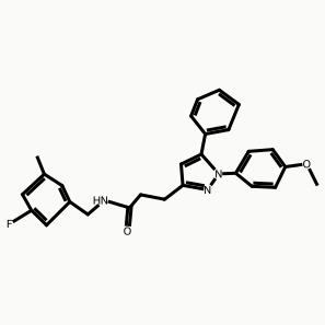 COc1ccc(-n2nc(CCC(=O)NCc3cc(C)cc(F)c3)cc2-c2ccccc2)cc1